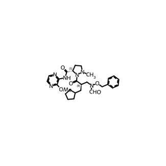 COc1nccnc1NC(=O)[C@@H]1CCN(C)N1C(=O)[C@H](CC1CCCC1)CN(C=O)OCc1ccccc1